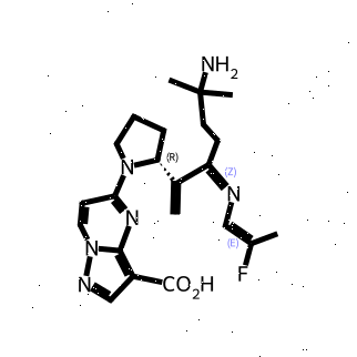 C=C(/C(CCC(C)(C)N)=N\C=C(/C)F)[C@H]1CCCN1c1ccn2ncc(C(=O)O)c2n1